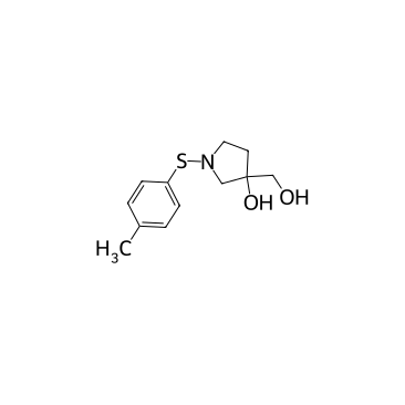 Cc1ccc(SN2CCC(O)(CO)C2)cc1